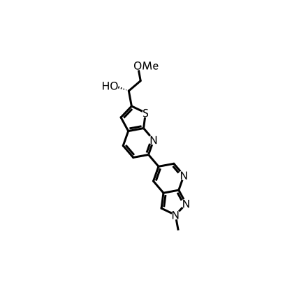 COC[C@@H](O)c1cc2ccc(-c3cnc4nn(C)cc4c3)nc2s1